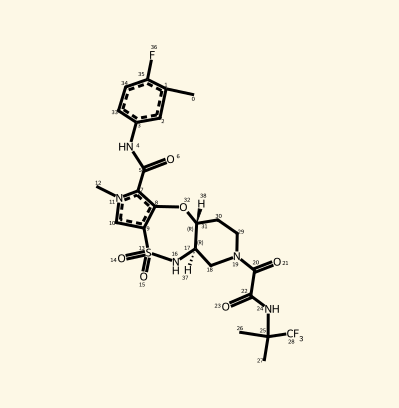 Cc1cc(NC(=O)c2c3c(cn2C)S(=O)(=O)N[C@@H]2CN(C(=O)C(=O)NC(C)(C)C(F)(F)F)CC[C@H]2O3)ccc1F